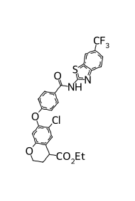 CCOC(=O)C1CCOc2cc(Oc3ccc(C(=O)Nc4nc5ccc(C(F)(F)F)cc5s4)cc3)c(Cl)cc21